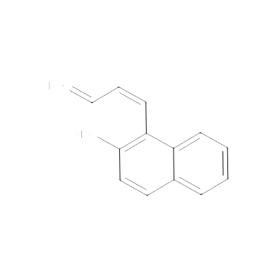 C=C/C=C\c1c(C)ccc2ccccc12